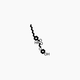 CCCCCCCCc1ccc(C(=O)NC(=O)CCOc2ccc(O)cc2)cc1